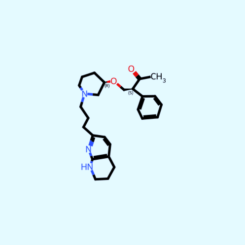 CC(=O)[C@H](CO[C@@H]1CCCN(CCCc2ccc3c(n2)NCCC3)C1)c1ccccc1